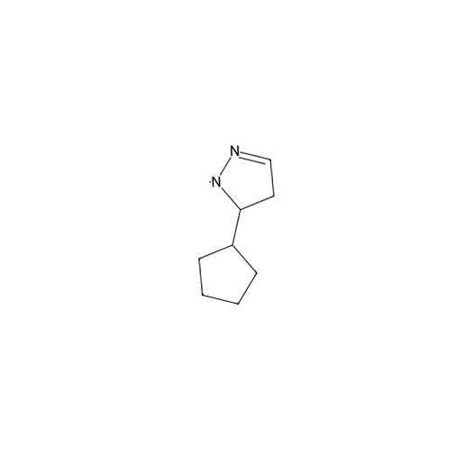 C1=N[N]C(C2CCCC2)C1